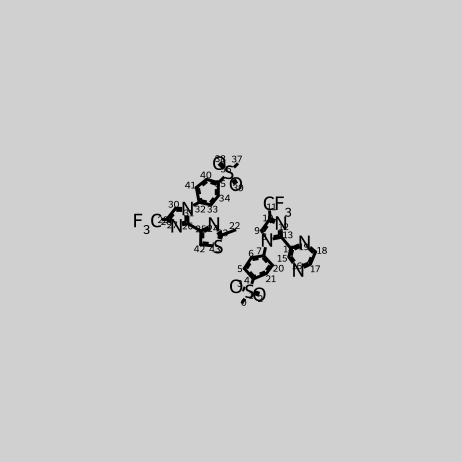 CS(=O)(=O)c1ccc(-n2cc(C(F)(F)F)nc2-c2cnccn2)cc1.Cc1nc(-c2nc(C(F)(F)F)cn2-c2ccc(S(C)(=O)=O)cc2)cs1